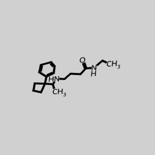 CCNC(=O)CCCNC(C)C1(c2ccccc2)CCC1